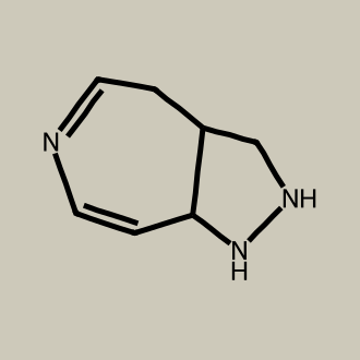 C1=CC2NNCC2CC=N1